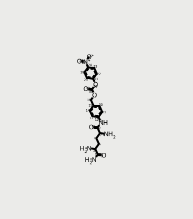 NC(=O)C(N)CCC(N)C(=O)Nc1ccc(COC(=O)Oc2ccc([N+](=O)[O-])cc2)cc1